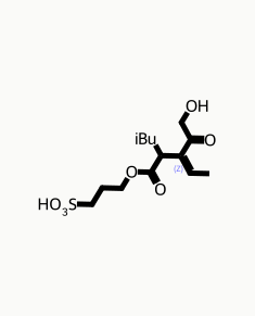 C/C=C(\C(=O)CO)C(C(=O)OCCCS(=O)(=O)O)C(C)CC